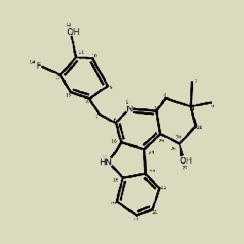 CC1(C)Cc2nc(Cc3ccc(O)c(F)c3)c3[nH]c4ccccc4c3c2[C@H](O)C1